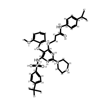 COc1ccccc1Oc1c(NS(=O)(=O)c2ccc(C(C)(C)C)cc2)nc(N2CCOCC2)nc1OCCC(=O)Nc1ccc(C(C)C)cc1